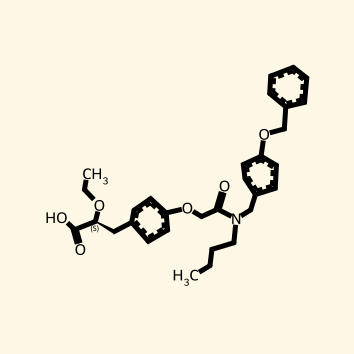 CCCCN(Cc1ccc(OCc2ccccc2)cc1)C(=O)COc1ccc(C[C@H](OCC)C(=O)O)cc1